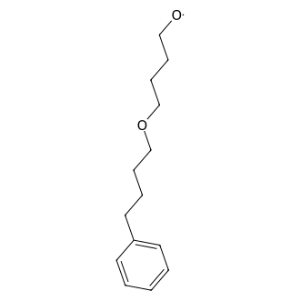 [O]CCCCOCCCCc1ccccc1